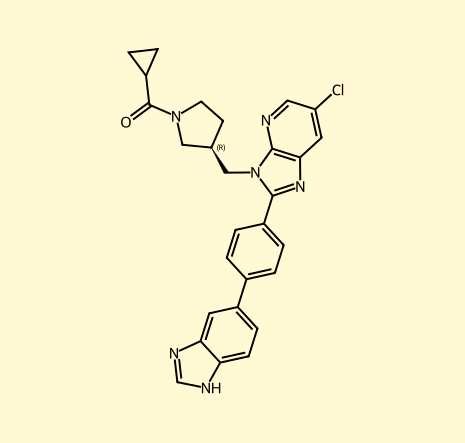 O=C(C1CC1)N1CC[C@@H](Cn2c(-c3ccc(-c4ccc5[nH]cnc5c4)cc3)nc3cc(Cl)cnc32)C1